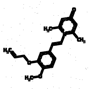 C=CCOc1cc(/C=C/n2c(C)cc(=O)cc2C)ccc1OC